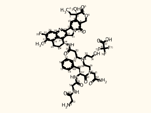 CC[C@@]1(O)C(=O)OCc2c1cc1n(c2=O)Cc2c-1nc1cc(F)c(C)c3c1c2[C@@H](NC(=O)CCN(CCO)CCN(CC(N)=O)C(=O)[C@H](Cc1ccccc1)NC(=O)CNC(=O)CN)CC3.O=C(O)C(F)(F)F